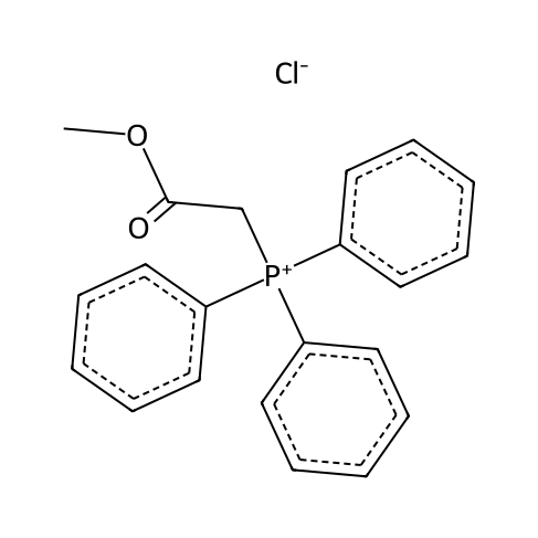 COC(=O)C[P+](c1ccccc1)(c1ccccc1)c1ccccc1.[Cl-]